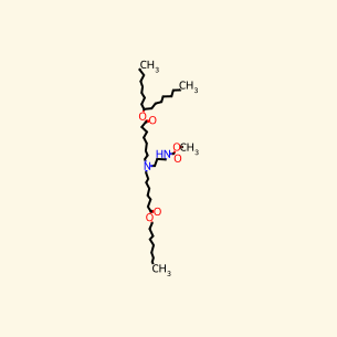 CCCCCCCCCOC(=O)CCCCCCCN(CCCCCCCC(=O)OC(CCCCCCCC)CCCCCCCC)CCCNC(=O)OC